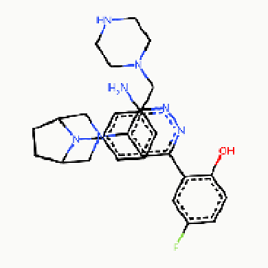 Nc1nnc(-c2cc(F)ccc2O)cc1N1CC2CCC(C1)N2c1cccc(CN2CCNCC2)c1